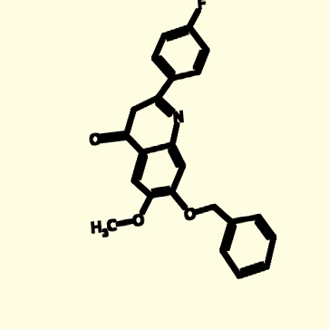 COc1cc2c(cc1OCc1ccccc1)N=C(c1ccc(F)cc1)CC2=O